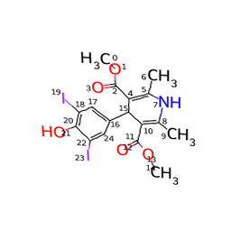 COC(=O)C1=C(C)NC(C)=C(C(=O)OC)C1c1cc(I)c(O)c(I)c1